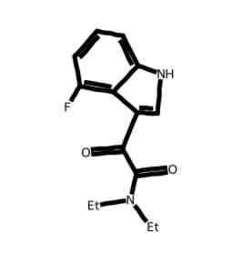 CCN(CC)C(=O)C(=O)c1c[nH]c2cccc(F)c12